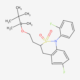 CC(C)(C)[Si](C)(C)OCCC1Cc2cc(F)ccc2N(c2ccccc2F)S1(=O)=O